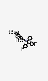 CC(C)(C)OC(=O)CC(=O)CC(O)/C=C/C(=C(c1ccc(F)cc1)c1ccc(F)cc1)C1CCCCC1